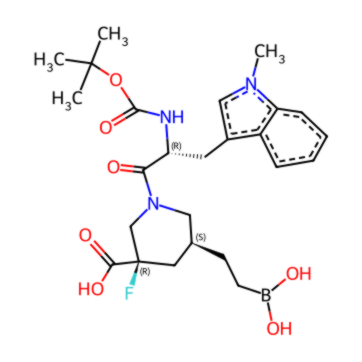 Cn1cc(C[C@@H](NC(=O)OC(C)(C)C)C(=O)N2C[C@@H](CCB(O)O)C[C@](F)(C(=O)O)C2)c2ccccc21